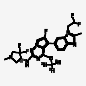 [2H]C([2H])([2H])Oc1nc(N[C@@H]2CN(C)CC2(F)F)nn2cc(F)c(-c3ccc4nc(C)n(CC(F)F)c4c3)c12